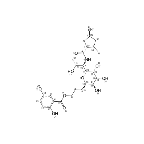 CCC[C@@H]1C[C@@H](C(=O)N[C@@H]([C@H]2O[C@H](SCCOC(=O)c3cc(O)ccc3O)[C@H](O)[C@@H](O)[C@H]2O)[C@@H](C)O)N(C)C1